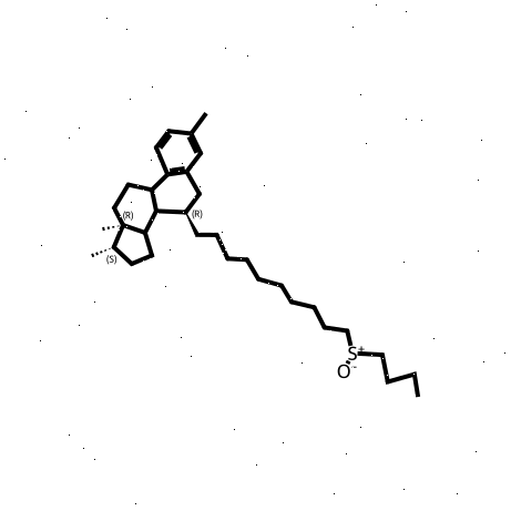 CCCC[S+]([O-])CCCCCCCCCC[C@@H]1Cc2cc(C)ccc2C2CC[C@@]3(C)C(CC[C@@H]3C)C21